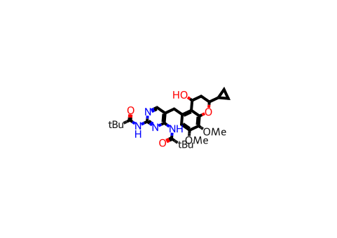 COc1cc(Cc2cnc(NC(=O)C(C)(C)C)nc2NC(=O)C(C)(C)C)c2c(c1OC)OC(C1CC1)CC2O